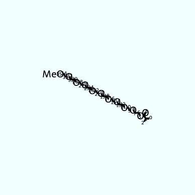 C=C(C)C(=O)OCCOCCOCCOCCOCCOCCOCCOCCOCCOCCOC